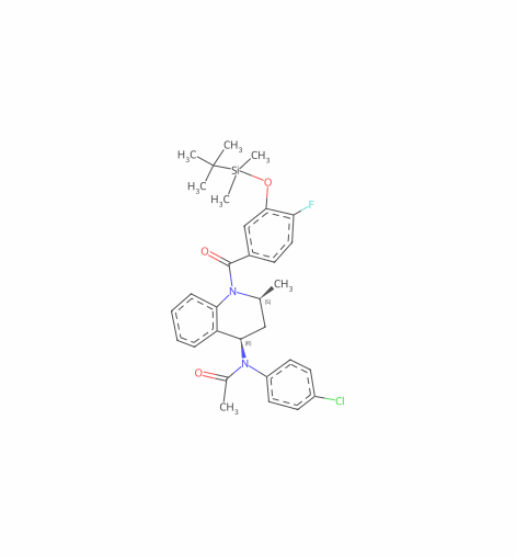 CC(=O)N(c1ccc(Cl)cc1)[C@@H]1C[C@H](C)N(C(=O)c2ccc(F)c(O[Si](C)(C)C(C)(C)C)c2)c2ccccc21